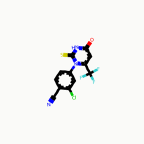 N#Cc1ccc(-n2c(C(F)(F)F)cc(=O)[nH]c2=S)cc1Cl